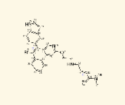 CC/C(=C(/c1ccc(OCCNC/C=C/C(=O)N(C)C)nc1)c1ccc2[nH]ncc2c1)c1ccccc1